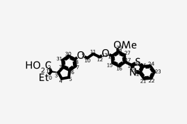 CCC(C(=O)O)[C@@H]1CCc2cc(OCCCOc3ccc(-c4nc5ccccc5s4)cc3OC)ccc21